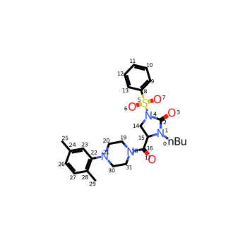 CCCCN1C(=O)N(S(=O)(=O)c2ccccc2)CC1C(=O)N1CCN(c2cc(C)ccc2C)CC1